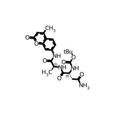 Cc1cc(=O)oc2cc(NC(=O)[C@H](C)NC(=O)[C@@H](CC(N)=O)NC(=O)OC(C)(C)C)ccc12